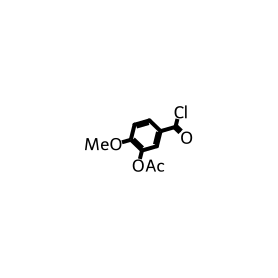 COc1ccc(C(=O)Cl)cc1OC(C)=O